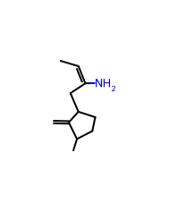 C=C1C(C)CCC1C/C(N)=C\C